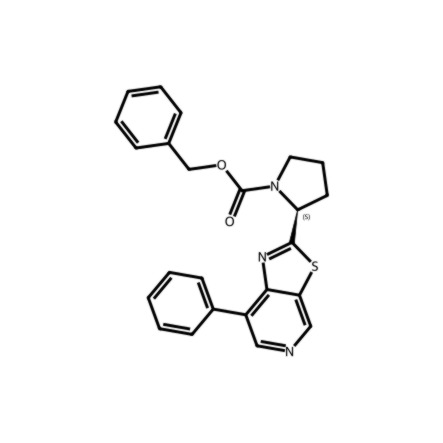 O=C(OCc1ccccc1)N1CCC[C@H]1c1nc2c(-c3ccccc3)cncc2s1